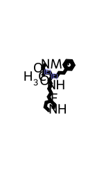 CNC(=O)/C(C)=C/C(=C\CCc1ccccc1)C(=O)NCCCC1(F)CCCNC1